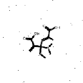 C=C(C(=O)O)C(C=C(C)C(=O)O)(CC)N(C)C